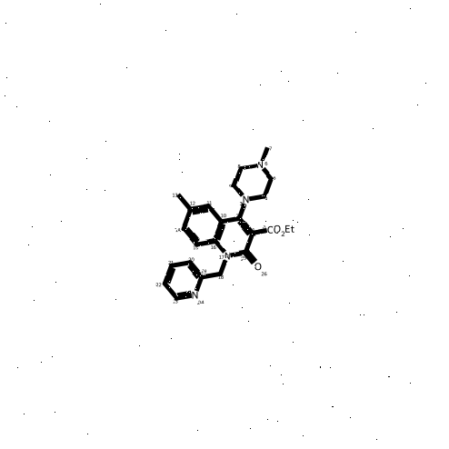 CCOC(=O)c1c(N2CCN(C)CC2)c2cc(C)ccc2n(Cc2ccccn2)c1=O